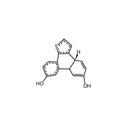 OC1=CC2c3cc(O)ccc3-c3sccc3[C@@H]2C=C1